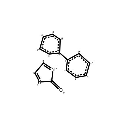 O=C1N=CC=N1.c1ccc(-c2ccccc2)cc1